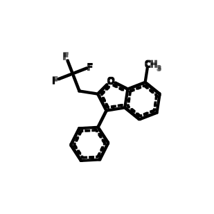 Cc1cccc2c(-c3ccccc3)c(CC(F)(F)F)oc12